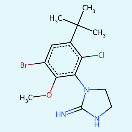 COc1c(Br)cc(C(C)(C)C)c(Cl)c1N1CCNC1=N